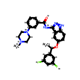 CC(Oc1ccc2[nH]nc(NC(=O)c3cccc(N4CCN(C)CC4)c3)c2c1)c1cc(F)cc(F)c1